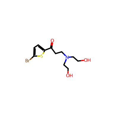 O=C(CCN(CCO)CCO)c1ccc(Br)s1